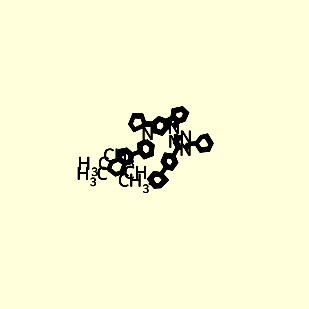 CC1CC(C)(C)c2cc(-c3cccc(-n4c5c(c6cc7c8ccccc8n(-c8nc(-c9ccc(-c%10ccccc%10)cc9)nc(C9C=CC=CC9)n8)c7cc64)C=CCC5)c3)ccc2C1(C)C